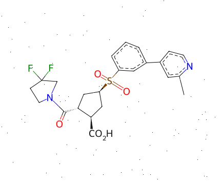 Cc1cc(-c2cccc(S(=O)(=O)[C@H]3C[C@@H](C(=O)O)[C@H](C(=O)N4CCC(F)(F)C4)C3)c2)ccn1